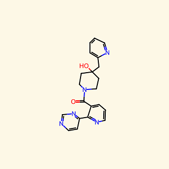 O=C(c1cccnc1-c1ccncn1)N1CCC(O)(Cc2ccccn2)CC1